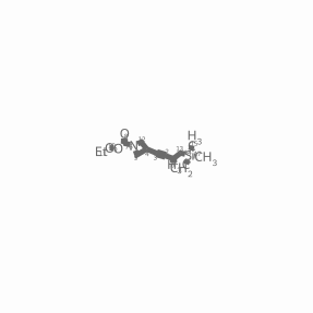 C=C(C#CC1CN(C(=O)OOCC)C1)C[Si](C)(C)C